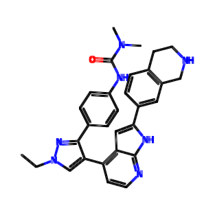 CCn1cc(-c2ccnc3[nH]c(-c4ccc5c(c4)CNCC5)cc23)c(-c2ccc(NC(=O)N(C)C)cc2)n1